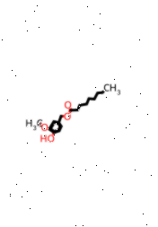 CCCCCCCCC(=O)OCc1ccc(O)c(OC)c1